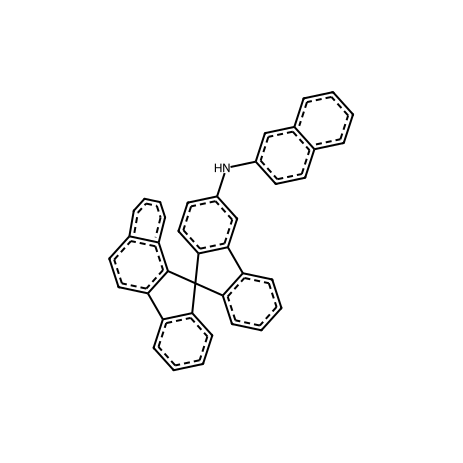 c1ccc2c(c1)-c1cc(Nc3ccc4ccccc4c3)ccc1C21c2ccccc2-c2ccc3ccccc3c21